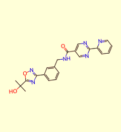 CC(C)(O)c1nc(-c2cccc(CNC(=O)c3cnc(-c4ccccn4)nc3)c2)no1